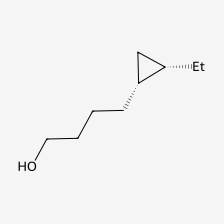 CC[C@H]1C[C@H]1CCCCO